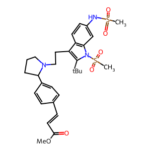 COC(=O)C=Cc1ccc(C2CCCN2CCc2c(C(C)(C)C)n(S(C)(=O)=O)c3cc(NS(C)(=O)=O)ccc23)cc1